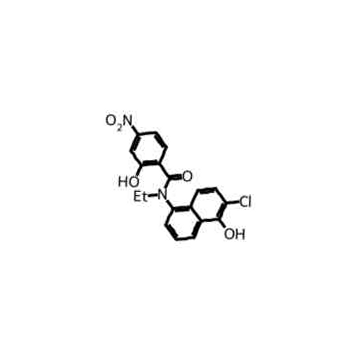 CCN(C(=O)c1ccc([N+](=O)[O-])cc1O)c1cccc2c(O)c(Cl)ccc12